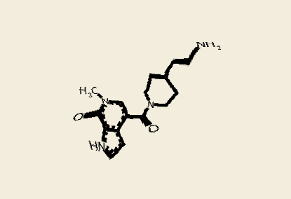 Cn1cc(C(=O)N2CCC(CCN)CC2)c2cc[nH]c2c1=O